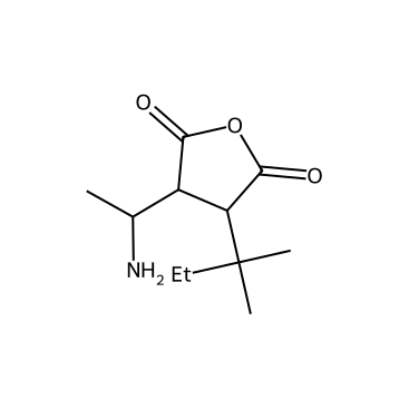 CCC(C)(C)C1C(=O)OC(=O)C1C(C)N